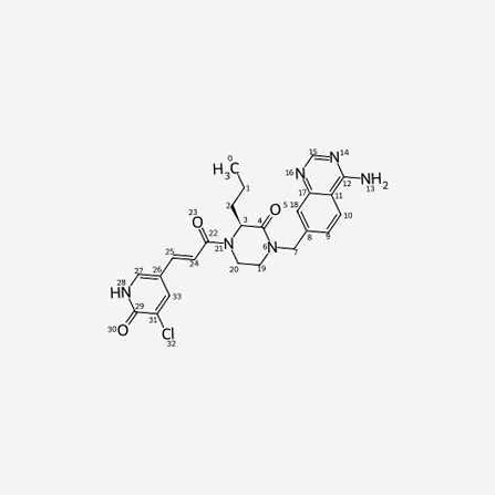 CCC[C@H]1C(=O)N(Cc2ccc3c(N)ncnc3c2)CCN1C(=O)C=Cc1c[nH]c(=O)c(Cl)c1